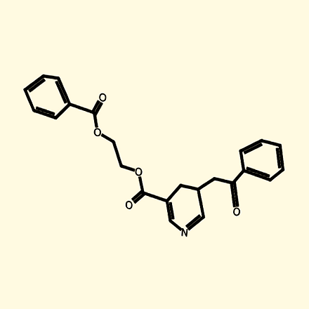 O=C(OCCOC(=O)c1ccccc1)C1=CN=CC(CC(=O)c2ccccc2)C1